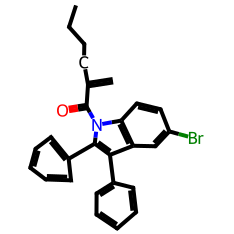 C=C(CCCC)C(=O)n1c(-c2ccccc2)c(-c2ccccc2)c2cc(Br)ccc21